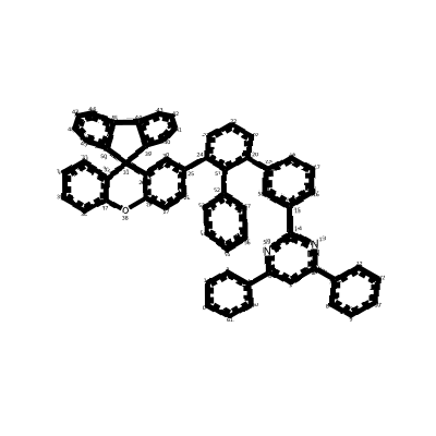 c1ccc(-c2cc(-c3ccccc3)nc(-c3cccc(-c4cccc(-c5ccc6c(c5)C5(c7ccccc7O6)c6ccccc6-c6ccccc65)c4-c4ccccc4)c3)n2)cc1